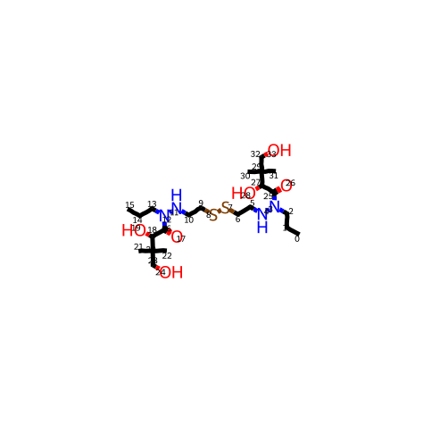 CCCN(NCCSSCCNN(CCC)C(=O)C(O)C(C)(C)CO)C(=O)C(O)C(C)(C)CO